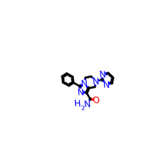 NC(=O)c1nc(-c2ccccc2)n2c1CN(c1ncccn1)CC2